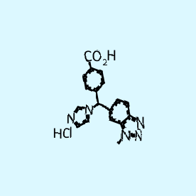 Cl.Cn1nnc2ccc(C(c3ccc(C(=O)O)cc3)n3ccnc3)cc21